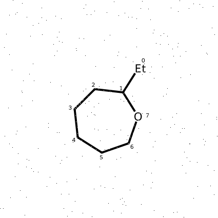 CCC1CCCCCO1